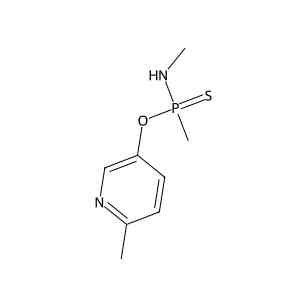 CNP(C)(=S)Oc1ccc(C)nc1